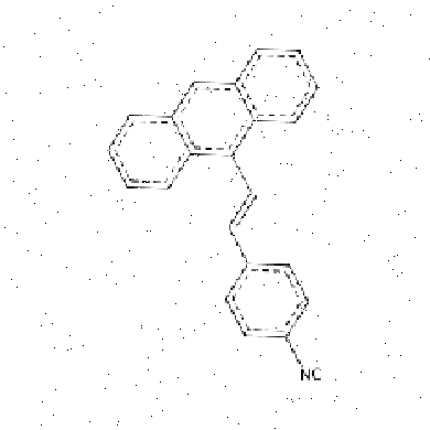 [C-]#[N+]c1ccc(C=Cc2c3ccccc3cc3ccccc23)cc1